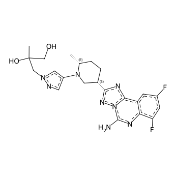 C[C@@H]1CC[C@H](c2nc3c4cc(F)cc(F)c4nc(N)n3n2)CN1c1cnn(CC(C)(O)CO)c1